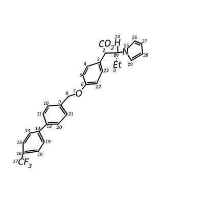 CC[C@](Cc1ccc(OCc2ccc(-c3ccc(C(F)(F)F)cc3)cc2)cc1)(C(=O)O)n1cccc1